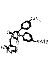 CSc1ccc(-n2c(-c3ccc(C)cc3)cc(=O)n(Cc3nnn[nH]3)c2=O)cc1